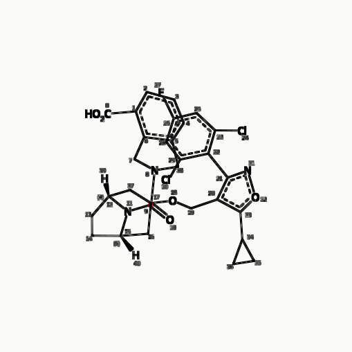 O=C(O)c1cccc2c1CN(C(=O)N1[C@@H]3CC[C@H]1CC(OCc1c(-c4c(Cl)cc(F)cc4Cl)noc1C1CC1)C3)C2